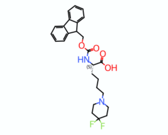 O=C(N[C@@H](CCCCN1CCC(F)(F)CC1)C(=O)O)OCC1c2ccccc2-c2ccccc21